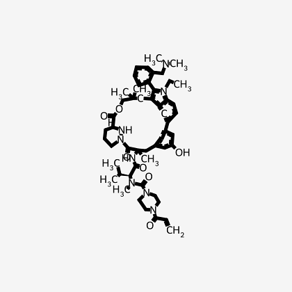 C=CC(=O)N1CCN(C(=O)N(C)[C@H](C(=O)NC2(C)Cc3cc(O)cc(c3)-c3ccc4c(c3)c(c(-c3ccccc3CN(C)C)n4CC)CC(C)(C)COC(=O)[C@@H]3CCCN(N3)C2=O)C(C)C)CC1